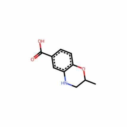 CC1CNc2cc(C(=O)O)ccc2O1